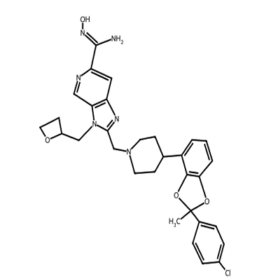 CC1(c2ccc(Cl)cc2)Oc2cccc(C3CCN(Cc4nc5cc(C(N)=NO)ncc5n4CC4CCO4)CC3)c2O1